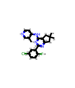 Cc1cnccc1Nc1nc(-c2cc(Cl)ccc2F)nc2c1CC(C)(C)C2